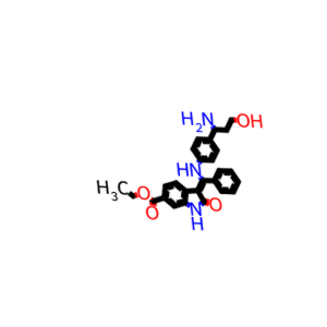 CCOC(=O)c1ccc2c(c1)NC(=O)C2=C(Nc1ccc(C(N)CCO)cc1)c1ccccc1